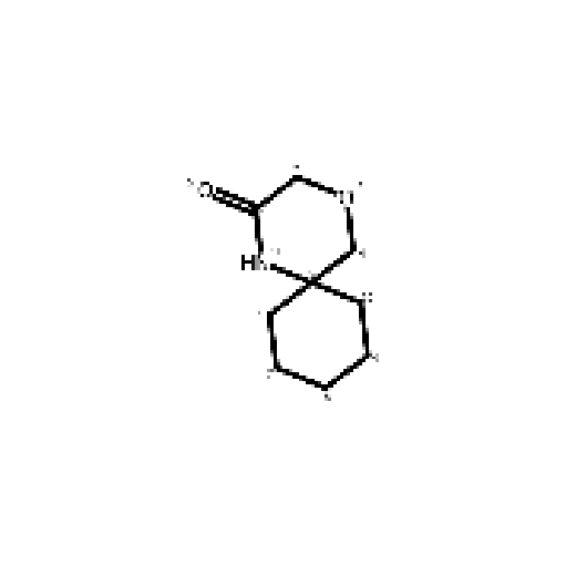 O=C1COCC2(CCCCC2)N1